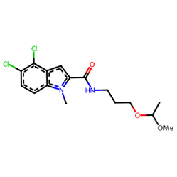 COC(C)OCCCNC(=O)c1cc2c(Cl)c(Cl)ccc2n1C